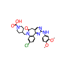 COc1ccc(Nc2ncc3c(n2)-c2ccc(Cl)cc2N(CC2CCN(C(=O)O)CC2)C(=O)C3)cc1OC